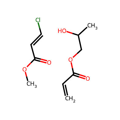 C=CC(=O)OCC(C)O.COC(=O)C=CCl